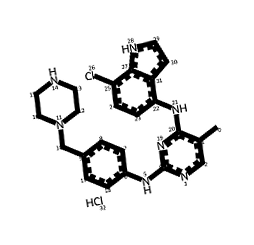 Cc1cnc(Nc2ccc(CN3CCNCC3)cc2)nc1Nc1ccc(Cl)c2[nH]ccc12.Cl